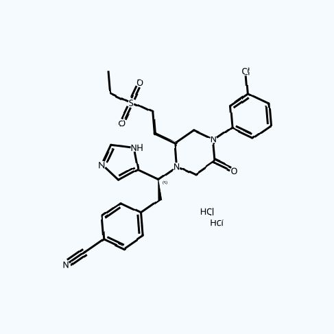 CCS(=O)(=O)CCC1CN(c2cccc(Cl)c2)C(=O)CN1[C@@H](Cc1ccc(C#N)cc1)c1cnc[nH]1.Cl.Cl